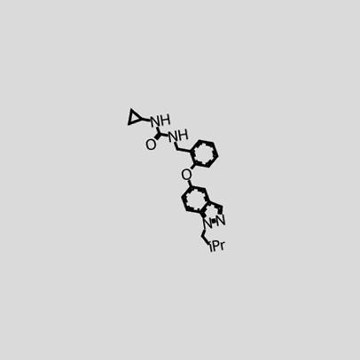 CC(C)Cn1ncc2cc(Oc3ccccc3CNC(=O)NC3CC3)ccc21